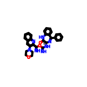 N=C(N[C@H]1N=C(c2ccccc2)c2ccccc2NC1=O)OC(=N)c1nc2ccccc2cc1N1CCOCC1